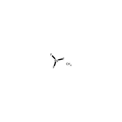 C.[F][Ag]([F])[F]